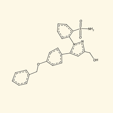 NS(=O)(=O)c1ccccc1-n1nc(CO)cc1-c1ccc(OCc2ccccc2)cc1